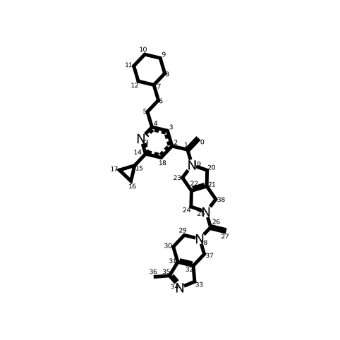 C=C(c1cc(CCC2CCCCC2)nc(C2CC2)c1)N1CC2=C(C1)CN(C(=C)N1CCC3=C(CN=C3C)C1)C2